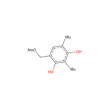 COCc1cc(C(C)(C)C)c(O)c(C(C)(C)C)c1O